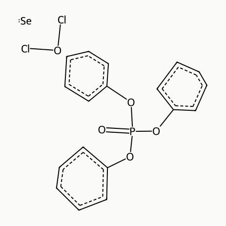 ClOCl.O=P(Oc1ccccc1)(Oc1ccccc1)Oc1ccccc1.[Se]